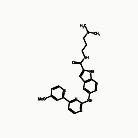 COc1ccnc(-c2ccnc(Nc3ccc4[nH]c(C(=O)NCCCN(C)C)cc4c3)n2)c1